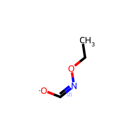 CCO/N=C\[O]